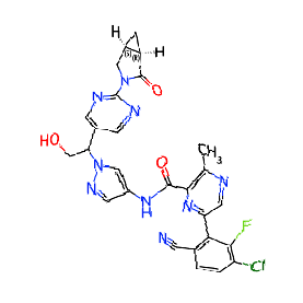 Cc1ncc(-c2c(C#N)ccc(Cl)c2F)nc1C(=O)Nc1cnn(C(CO)c2cnc(N3C[C@H]4C[C@H]4C3=O)nc2)c1